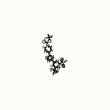 CC(C)(C)OC(=O)N1C=CC(c2nc(-c3cc(C(F)(F)F)nc(S(C)(=O)=O)n3)no2)=NC1